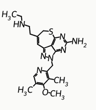 CCNCCC1=Cc2nn(Cc3ncc(C)c(OC)c3C)c3nc(N)nc(c23)SC1